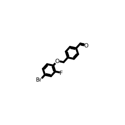 O=Cc1ccc(COc2ccc(Br)cc2F)cc1